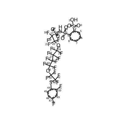 O=S(=O)(O)c1ccccc1S(=O)(=O)NS(=O)(=O)C(F)(F)C(F)(F)OC(F)(F)C(F)(F)C(F)(F)C(F)(F)OC(F)(F)C(F)(F)Sc1ccc(F)cc1F